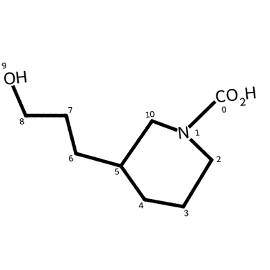 O=C(O)N1CCCC(CCCO)C1